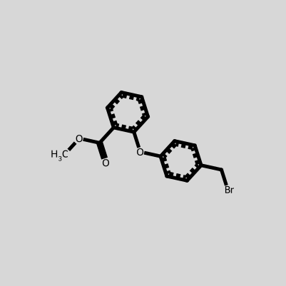 COC(=O)c1ccccc1Oc1ccc(CBr)cc1